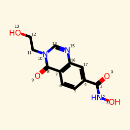 O=C(NO)c1ccc2c(=O)n(CCO)cnc2c1